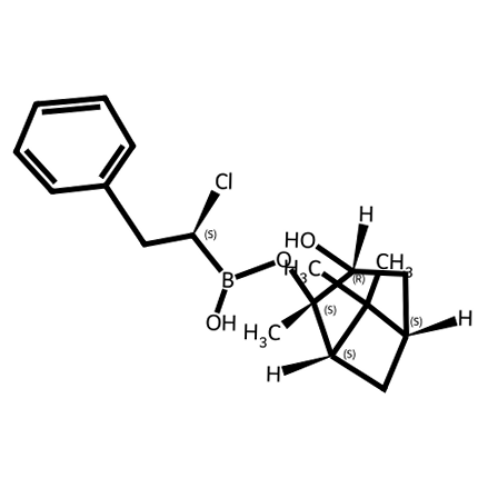 CC1(C)[C@@H]2C[C@@H](O)[C@@](C)(OB(O)[C@H](Cl)Cc3ccccc3)[C@H]1C2